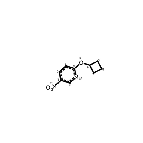 O=[N+]([O-])c1ccc(OC2CCC2)nc1